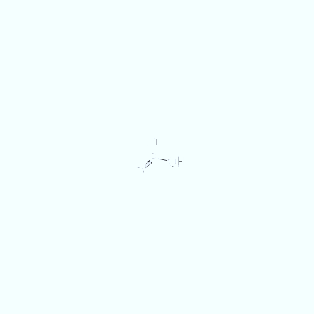 O=PO.[Pr]